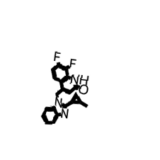 CC1CC1c1nc2ccccc2n1Cc1cc(=O)[nH]c2c(F)c(F)ccc12